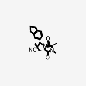 CN1C(=O)[C@@]23C[C@](C)(C#N)[C@H](c4ccc5c(c4)CCC5)N2C(=O)[C@]1(C)SS3